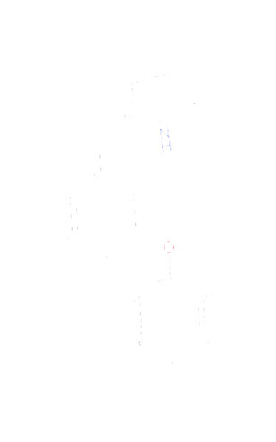 C(=C1CCCN1)c1cccc(Oc2ccccc2)c1